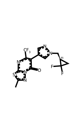 Cc1nn2c(=O)c(-c3cnn(C[C@H]4CC4(F)F)c3)c(C(F)(F)F)nc2s1